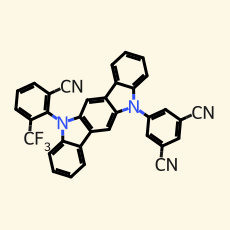 N#Cc1cc(C#N)cc(-n2c3ccccc3c3cc4c(cc32)c2ccccc2n4-c2c(C#N)cccc2C(F)(F)F)c1